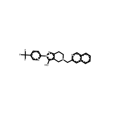 Oc1c2c(nn1-c1ccc(C(F)(F)F)cn1)CCN(Cc1cc3ccccc3cn1)C2